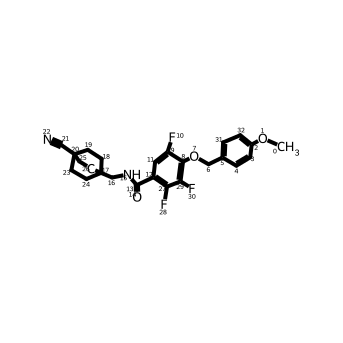 COc1ccc(COc2c(F)cc(C(=O)NCC34CCC(C#N)(CC3)CC4)c(F)c2F)cc1